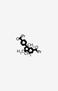 CC(C)C(=O)c1ccc(C2(C)CC(C)(C)c3ccc(C(=O)C(C)C)cc32)cc1